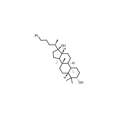 CC(C)CCC[C@@H](C)[C@@]1(O)CC[C@@]2(C)[C@H]1CC[C@H]1[C@@]3(C)CC[C@H](O)C(C)(C)[C@@H]3CC[C@@]12C